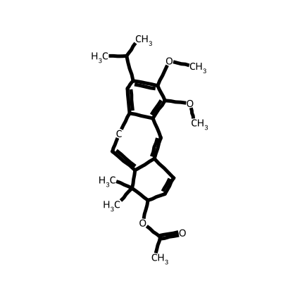 COc1c(C(C)C)cc2c(c1OC)C=C1C=CC(OC(C)=O)C(C)(C)C1=CC2